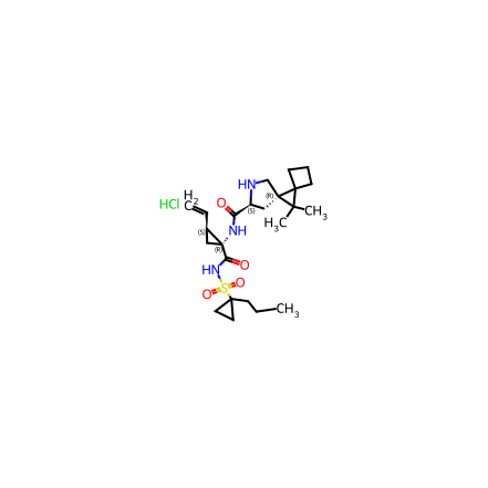 C=C[C@@H]1C[C@]1(NC(=O)[C@@H]1C[C@@]2(CN1)C(C)(C)C21CCC1)C(=O)NS(=O)(=O)C1(CCC)CC1.Cl